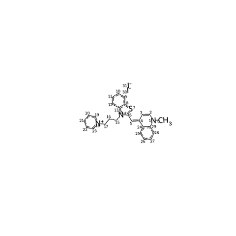 CN1C=C/C(=C\c2sc3ccccc3[n+]2CCC[n+]2ccccc2)c2ccccc21.[I-].[I-]